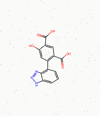 O=C(O)c1cc(C(=O)O)c(-c2cccc3[nH]nnc23)cc1O